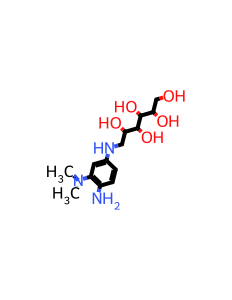 CN(C)c1cc(NCC(O)C(O)C(O)C(O)CO)ccc1N